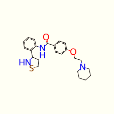 O=C(Nc1ccccc1C1CCSN1)c1ccc(OCCN2CCCCC2)cc1